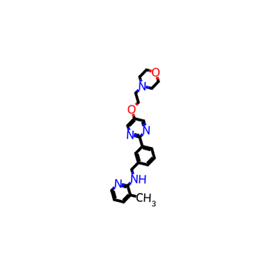 Cc1cccnc1NCc1cccc(-c2ncc(OCCN3CCOCC3)cn2)c1